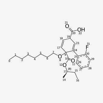 CCCCCCCCOC1(C(=O)O[C@H](C)CC)C=CC(C(=O)O)C=C1c1ccccc1F